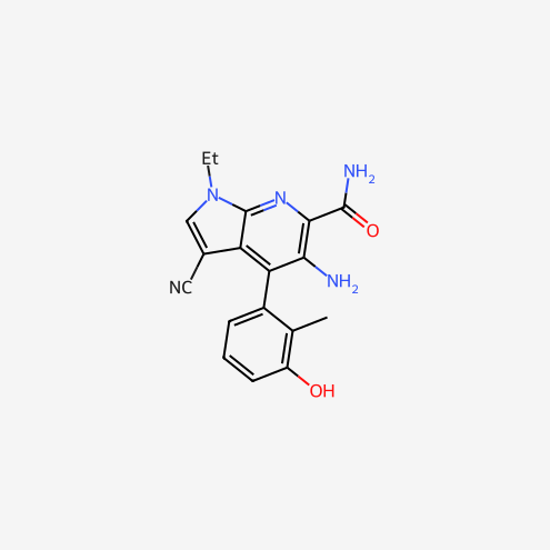 CCn1cc(C#N)c2c(-c3cccc(O)c3C)c(N)c(C(N)=O)nc21